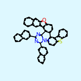 c1ccc2cc(C3=NC(c4ccc5ccccc5c4)NC(c4c(-c5cccc6sc7ccccc7c56)ccc5oc6cc7ccccc7cc6c45)=N3)ccc2c1